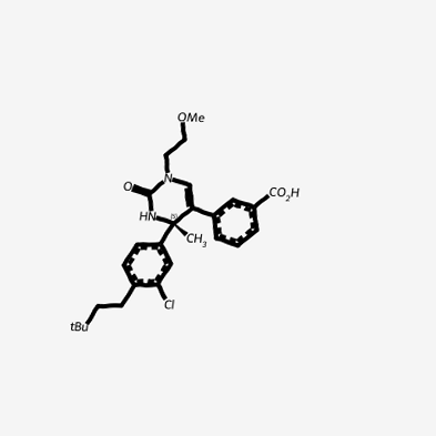 COCCN1C=C(c2cccc(C(=O)O)c2)[C@](C)(c2ccc(CCC(C)(C)C)c(Cl)c2)NC1=O